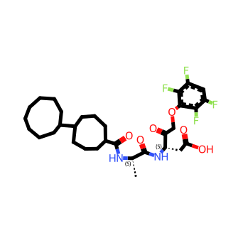 C[C@H](NC(=O)C1CCCC(C2CCCCCCCC2)CCC1)C(=O)N[C@@H](CC(=O)O)C(=O)COc1c(F)c(F)cc(F)c1F